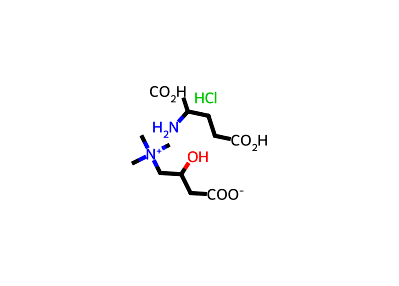 C[N+](C)(C)CC(O)CC(=O)[O-].Cl.NC(CCC(=O)O)C(=O)O